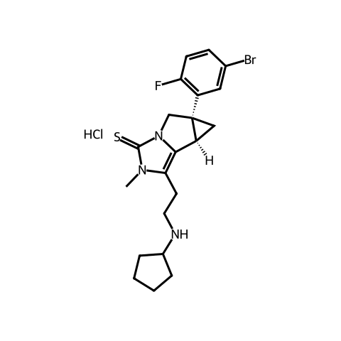 Cl.Cn1c(CCNC2CCCC2)c2n(c1=S)C[C@@]1(c3cc(Br)ccc3F)C[C@@H]21